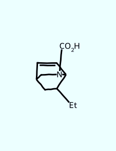 CCC1CC2C=CC1N(C(=O)O)C2